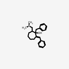 CN(C)CC1CCCCC(=Cc2ccccc2)C1(O)Cc1ccccc1